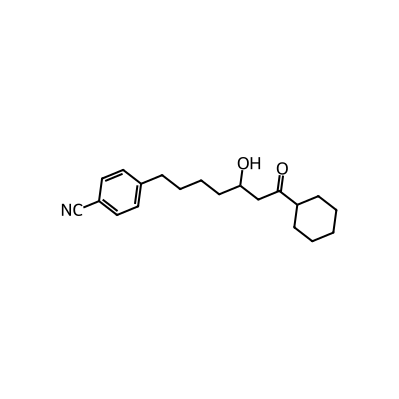 N#Cc1ccc(CCCCC(O)CC(=O)C2CCCCC2)cc1